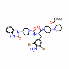 COC(=O)[C@@H]1CCCCN1C1CCN(C(=O)[C@@H](Cc2cc(Br)c(N)c(Br)c2)NC(=O)N2CCC(N3Cc4ccccc4NC3=O)CC2)CC1